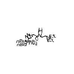 CCC[CH2][Sn]([CH2]CCC)([CH2]CCC)[c]1cn(CC(=O)NCCN(CC)CC)nn1